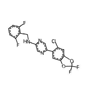 Fc1cccc(F)c1CNc1cnc(-c2cc3c(cc2Cl)OC(F)(F)O3)cn1